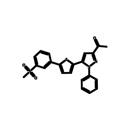 CC(=O)c1cc(-c2ccc(-c3cccc(S(C)(=O)=O)c3)s2)n(-c2ccccc2)n1